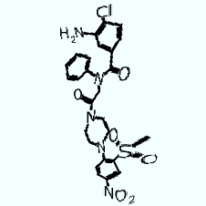 CS(=O)(=O)c1cc([N+](=O)[O-])ccc1N1CCN(C(=O)CN(C(=O)c2ccc(Cl)c(N)c2)c2ccccc2)CC1